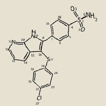 NS(=O)(=O)c1ccc(-c2[nH]c3ncccc3c2Sc2ccc(Cl)cc2)cc1